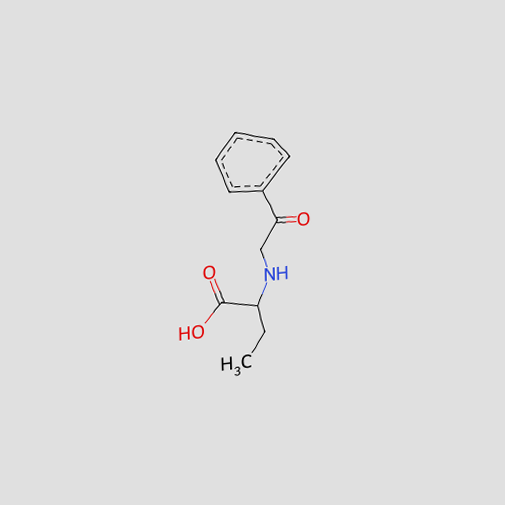 CCC(NCC(=O)c1ccccc1)C(=O)O